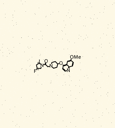 COc1ccc2nccc(OC3CCN(CC(=O)N4C[C@@H](F)C[C@H]4C)CC3)c2c1